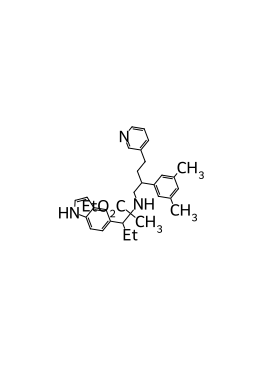 CCOC(=O)C(C)(NCC(CCc1cccnc1)c1cc(C)cc(C)c1)C(CC)c1ccc2[nH]ccc2c1